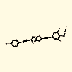 CCCc1ccc(C#Cc2cc3sc(C#Cc4cc(F)c(N=C=S)c(F)c4)cc3s2)cc1